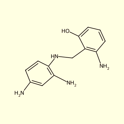 Nc1ccc(NCc2c(N)cccc2O)c(N)c1